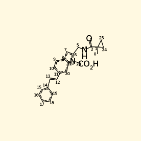 CC1(C(=O)NCc2cc3ccc(/C=C/c4ccccc4)cc3n2C(=O)O)CC1